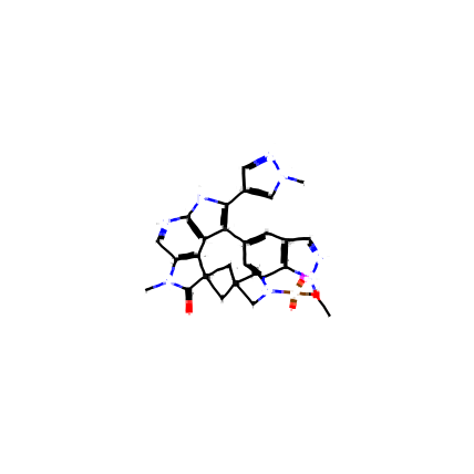 CCS(=O)(=O)N1CC2(C1)CC1(C2)C(=O)N(C)c2cnc3[nH]c(-c4cnn(C)c4)c(-c4ccc5c(cnn5C)c4)c3c21